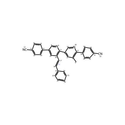 Cc1cc(-c2ncc(-c3ccc(C#N)cc3)cc2/C=C/c2ccccc2)cnc1-c1ccc(C#N)cc1